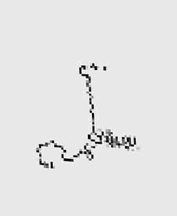 CC/C=C\C/C=C\C/C=C\C/C=C\C/C=C\CCCC(=O)OC[C@H](COP(=O)(O)OC[C@@H](O)CO)OC(=O)CCCCCCCCCCC/C=C\C/C=C\CCCCC